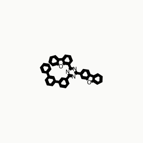 c1ccc(-c2cccc(-c3cccc(-c4nc(-c5ccc6c(c5)oc5ccccc56)nc(-c5cccc6c5oc5ccccc56)n4)c3)c2)cc1